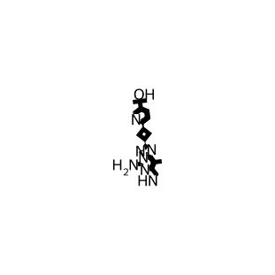 Cc1c(C=N)nc(N)n2nc([C@H]3C[C@H](c4ccc(C(C)(C)O)cn4)C3)nc12